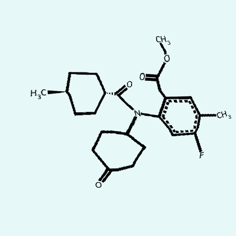 COC(=O)c1cc(C)c(F)cc1N(C(=O)[C@H]1CC[C@H](C)CC1)C1CCC(=O)CC1